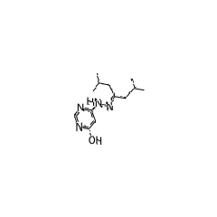 CC(C)CC(CC(C)C)=NNc1cc(O)ncn1